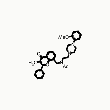 COc1ccccc1N1CCN(CCN(Cc2cccc3c(=O)c(C)c(-c4ccccc4)oc23)C(C)=O)CC1